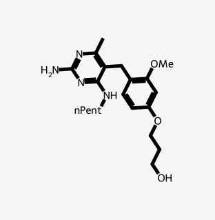 CCCCCNc1nc(N)nc(C)c1Cc1ccc(OCCCO)cc1OC